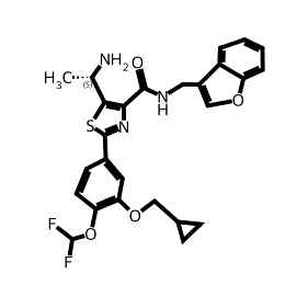 C[C@H](N)c1sc(-c2ccc(OC(F)F)c(OCC3CC3)c2)nc1C(=O)NCc1coc2ccccc12